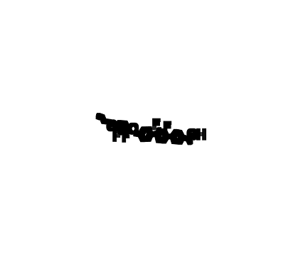 C=CCCOc1ccc(OCc2ccc(-c3ccc(-c4ccc(C(C)O)cc4)c(F)c3F)cc2)c(F)c1F